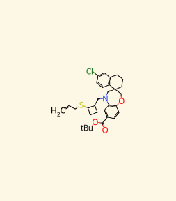 C=CCS[C@@H]1CC[C@@H]1CN1C[C@@]2(CCCc3cc(Cl)ccc32)COc2ccc(C(=O)OC(C)(C)C)cc21